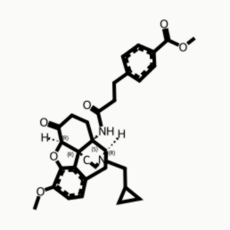 COC(=O)c1ccc(CCC(=O)N[C@@]23CCC(=O)[C@@H]4Oc5c(OC)ccc6c5[C@@]42CCN(CC2CC2)[C@@H]3C6)cc1